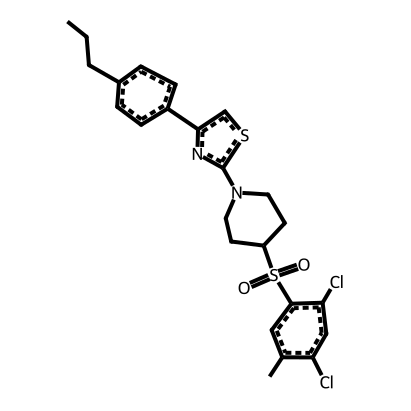 CCCc1ccc(-c2csc(N3CCC(S(=O)(=O)c4cc(C)c(Cl)cc4Cl)CC3)n2)cc1